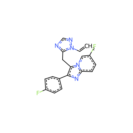 C=Cn1ncnc1Cc1c(-c2ccc(F)cc2)nc2ccc(F)cn12